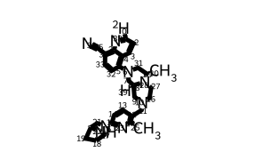 [2H]c1ccc2c(N3C[C@@H]4CN(Cc5ccc(N6CC7CC(C6)N7)nc5C)CCN4[C@H](C)C3)ccc(C#N)c2n1